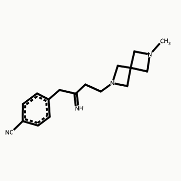 CN1CC2(C1)CN(CCC(=N)Cc1ccc(C#N)cc1)C2